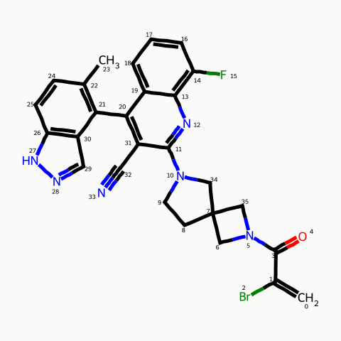 C=C(Br)C(=O)N1CC2(CCN(c3nc4c(F)cccc4c(-c4c(C)ccc5[nH]ncc45)c3C#N)C2)C1